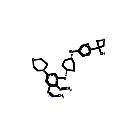 C=Nc1c(/N=C\C)cc(N2CCOCC2)cc1O[C@H]1CC[C@@H](Nc2ccc(C3(O)COC3)nc2)CC1